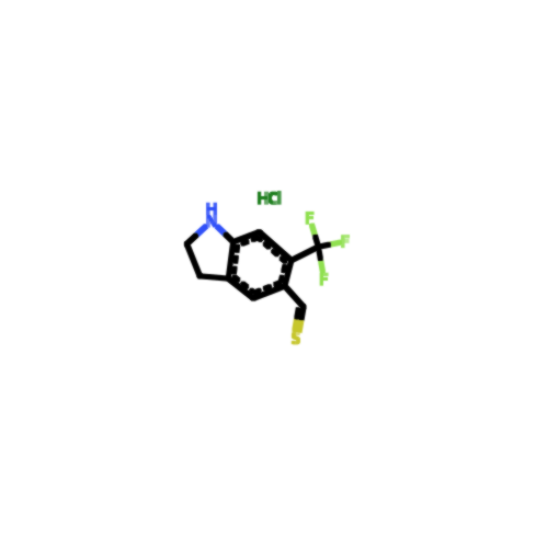 Cl.FC(F)(F)c1cc2c(cc1C=S)CCN2